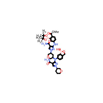 COC(=O)c1ccc(Nc2nn(C3COCC(N(c4ccc5c(c4)B(O)OC5)c4nn(C5CCCOC5)cc4C(N)=O)C3)cc2C(N)=O)cc1B1OC(C)(C)C(C)(C)O1